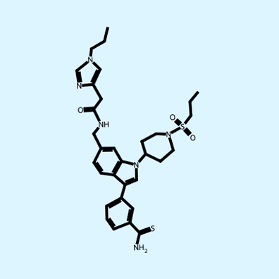 CCCn1cnc(CC(=O)NCc2ccc3c(-c4cccc(C(N)=S)c4)cn(C4CCN(S(=O)(=O)CCC)CC4)c3c2)c1